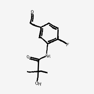 CC(C)(O)C(=O)Nc1cc(C=O)ccc1F